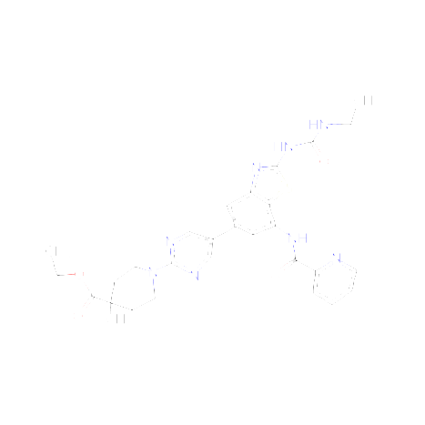 CCNC(=O)Nc1nc2cc(-c3cnc(N4CCC(C)(C(=O)OCC)CC4)nc3)cc(NC(=O)c3ccccn3)c2s1